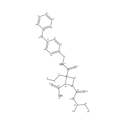 CCCC1(C(=O)NCc2ccc(Oc3ccccc3)cc2)CC(C(=O)OC(C)CC)C1C(=O)O